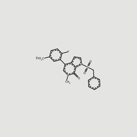 CCOC(=O)c1ccc(F)c(-c2cn(C)c(=O)c3c2ccn3S(=O)(=O)Cc2ccccc2)c1